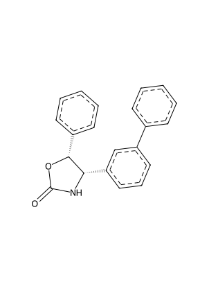 O=C1N[C@@H](c2cccc(-c3ccccc3)c2)[C@@H](c2ccccc2)O1